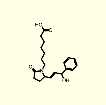 O=C(O)CCCCCCN1C(=O)CCC1C=CC(O)c1ccccc1